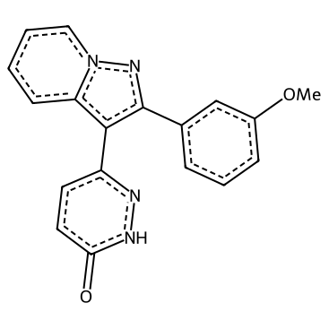 COc1cccc(-c2nn3ccccc3c2-c2ccc(=O)[nH]n2)c1